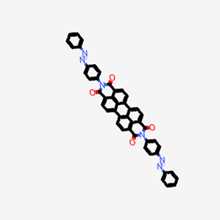 O=C1c2ccc3c4ccc5c6c(ccc(c7ccc(c2c37)C(=O)N1c1ccc(/N=N/c2ccccc2)cc1)c64)C(=O)N(c1ccc(/N=N/c2ccccc2)cc1)C5=O